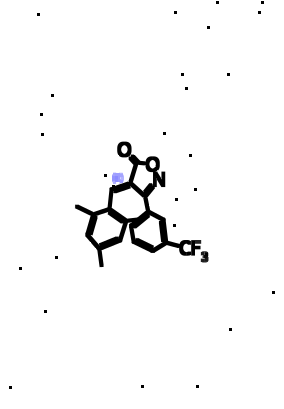 Cc1cc(C)c(/C=C2/C(=O)ON=C2c2cccc(C(F)(F)F)c2)c(C)c1